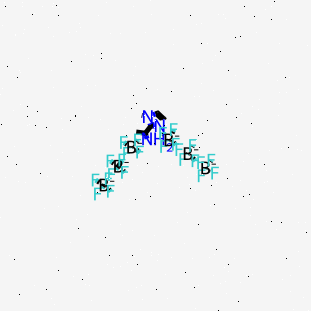 CC(N)c1nccn1C.F[B-](F)(F)F.F[B-](F)(F)F.F[B-](F)(F)F.F[B-](F)(F)F.F[B-](F)(F)F.F[B-](F)(F)F